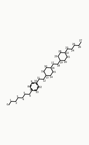 CCCCCCCc1ccc(CCC2CCC(CCC3CCC(CCCCC)CC3)CC2)cc1